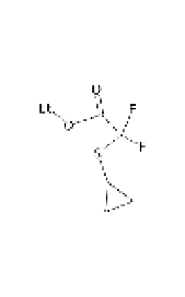 CCOC(=O)C(F)(F)SC1CC1